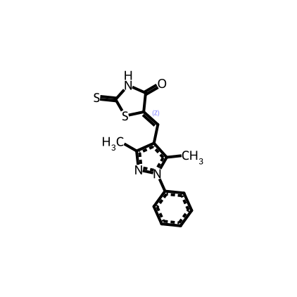 Cc1nn(-c2ccccc2)c(C)c1/C=C1\SC(=S)NC1=O